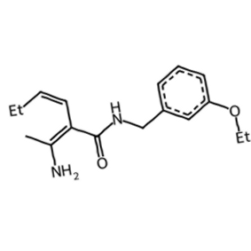 CC/C=C\C(C(=O)NCc1cccc(OCC)c1)=C(/C)N